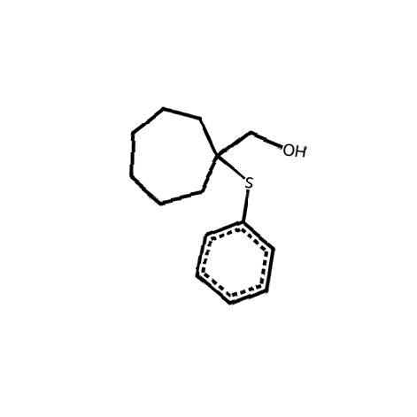 OCC1(Sc2ccccc2)CCCCCC1